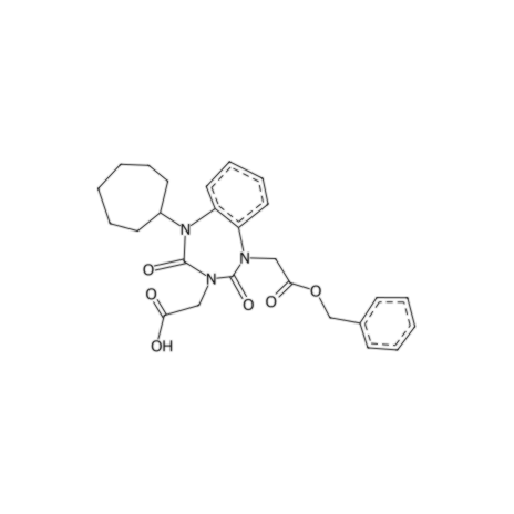 O=C(O)CN1C(=O)N(CC(=O)OCc2ccccc2)c2ccccc2N(C2CCCCCC2)C1=O